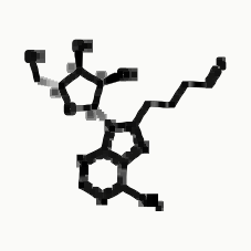 Nc1ncnc2c1nc(CCCC=S)n2[C@@H]1O[C@H](CO)[C@@H](O)[C@H]1O